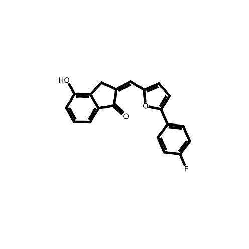 O=C1C(=Cc2ccc(-c3ccc(F)cc3)o2)Cc2c(O)cccc21